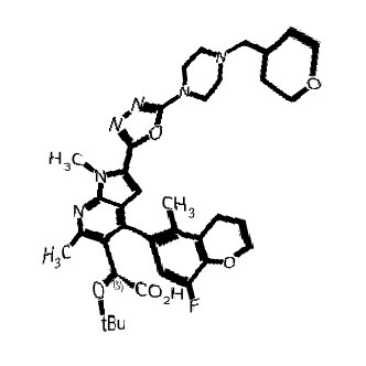 Cc1nc2c(cc(-c3nnc(N4CCN(CC5CCOCC5)CC4)o3)n2C)c(-c2cc(F)c3c(c2C)CCCO3)c1[C@H](OC(C)(C)C)C(=O)O